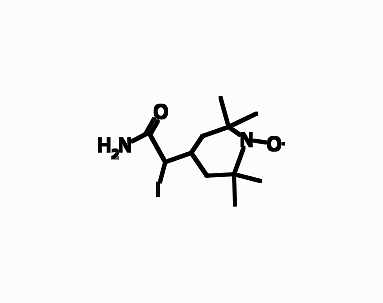 CC1(C)CC(C(I)C(N)=O)CC(C)(C)N1[O]